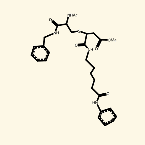 COC(=O)CC(SCC(NC(C)=O)C(=O)NCc1ccccc1)C(=O)NCCCCCC(=O)Nc1ccccc1